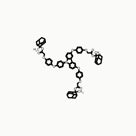 CC1(OC(=O)COc2ccc(Oc3ccc([SH]4c5ccc(Oc6ccc(OCC(=O)OC7(C)C8CC9CC(C8)CC7C9)cc6)cc5-c5cc(Oc6ccc(OCC(=O)OC7(C)C8CC9CC(C8)CC7C9)cc6)ccc54)cc3)cc2)C2CC3CC(C2)CC1C3